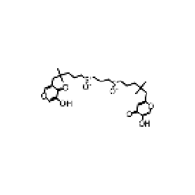 CC(C)(CCC[S+]([O-])CCC[S+]([O-])CCCC(C)(C)Cc1cocc(O)c1=O)Cc1cc(=O)c(O)co1